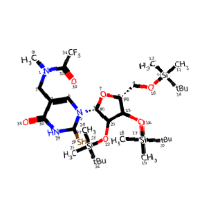 CN(CC1=CN([C@@H]2O[C@H](CO[Si](C)(C)C(C)(C)C)C(O[Si](C)(C)C(C)(C)C)C2O[Si](C)(C)C(C)(C)C)C(S)NC1=O)C(=O)C(F)(F)F